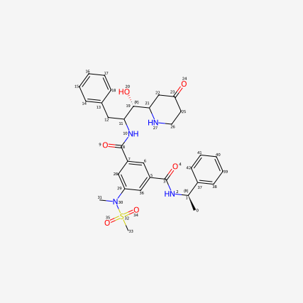 C[C@@H](NC(=O)c1cc(C(=O)NC(Cc2ccccc2)[C@H](O)C2CC(=O)CCN2)cc(N(C)S(C)(=O)=O)c1)c1ccccc1